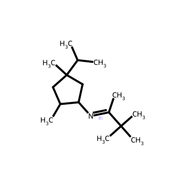 C/C(=N\C1CC(C)(C(C)C)CC1C)C(C)(C)C